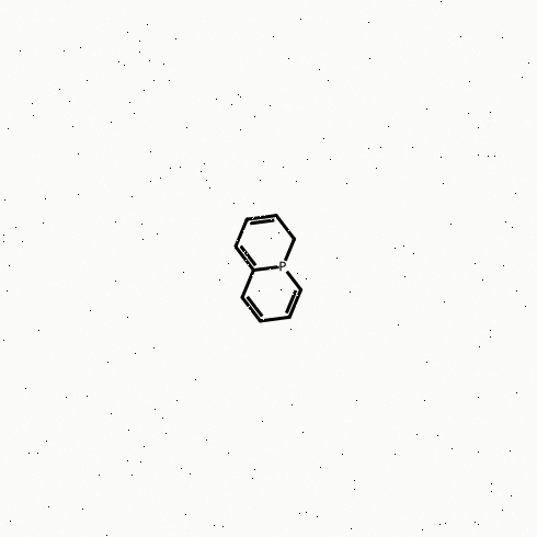 C1=CCP2C=CC=CC2=C1